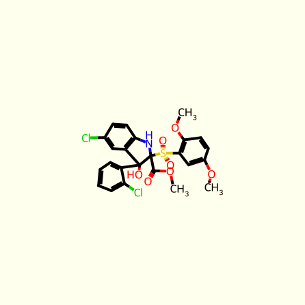 COC(=O)C1(S(=O)(=O)c2cc(OC)ccc2OC)Nc2ccc(Cl)cc2C1(O)c1ccccc1Cl